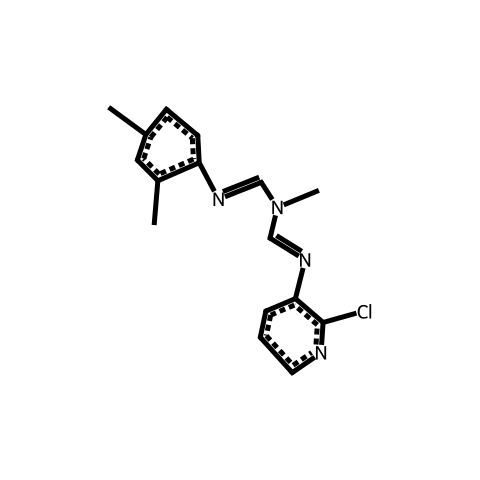 Cc1ccc(N=CN(C)C=Nc2cccnc2Cl)c(C)c1